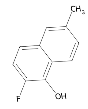 Cc1ccc2c(O)c(F)ccc2c1